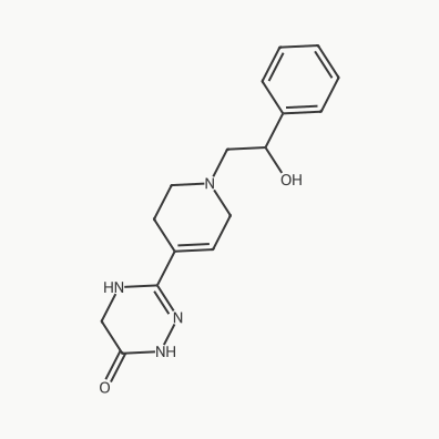 O=C1CNC(C2=CCN(CC(O)c3ccccc3)CC2)=NN1